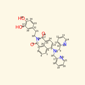 O=C1c2cccc3c(N(Cc4ccccn4)Cc4ccccn4)ccc(c23)C(=O)N1CCc1ccc(O)c(O)c1